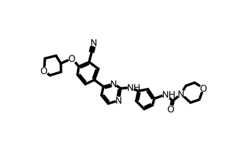 N#Cc1cc(-c2ccnc(Nc3cccc(NC(=O)N4CCOCC4)c3)n2)ccc1OC1CCOCC1